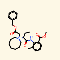 CCC(C(=O)Nc1c(C)cccc1C(=O)OC)[N+]1(CC(=O)OCc2ccccc2)CCCCCCC1